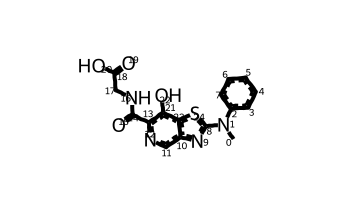 CN(c1ccccc1)c1nc2cnc(C(=O)NCC(=O)O)c(O)c2s1